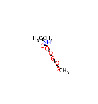 COCCOCCOCCOCCOCC(=O)NCC(C)C